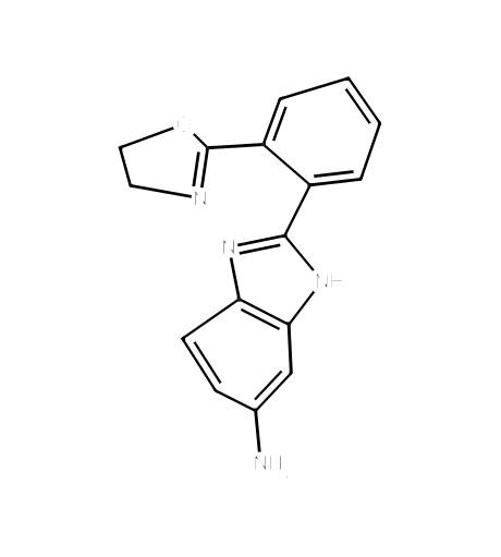 Nc1ccc2nc(-c3ccccc3C3=NCCO3)[nH]c2c1